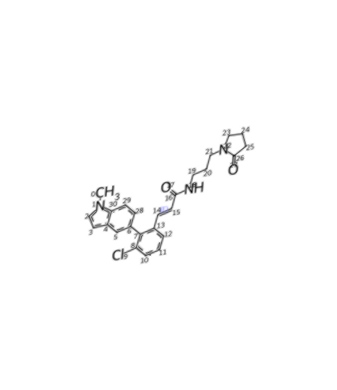 Cn1ccc2cc(-c3c(Cl)[c]ccc3/C=C/C(=O)NCCCN3CCCC3=O)ccc21